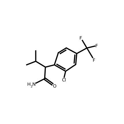 CC(C)C(C(N)=O)c1ccc(C(F)(F)F)cc1Cl